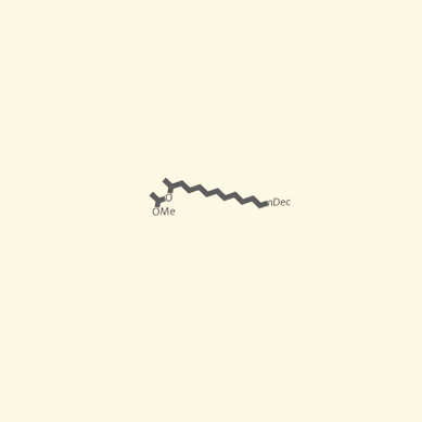 CCCCCCCCCCCCCCCCCCCCC(C)OC(C)OC